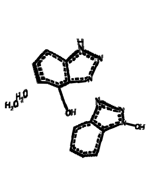 O.O.Oc1cccc2[nH]nnc12.On1nnc2ccccc21